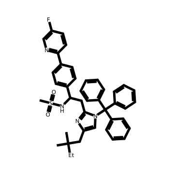 CCC(C)(C)Cc1cn(C(c2ccccc2)(c2ccccc2)c2ccccc2)c(CC(NS(C)(=O)=O)c2ccc(-c3ccc(F)cn3)cc2)n1